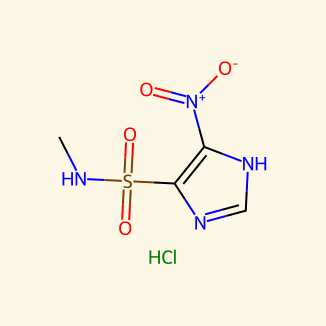 CNS(=O)(=O)c1nc[nH]c1[N+](=O)[O-].Cl